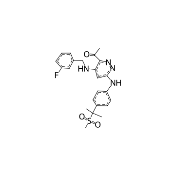 CC(=O)c1nnc(Nc2ccc(C(C)(C)S(C)(=O)=O)cc2)cc1NCc1cccc(F)c1